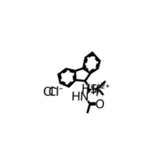 CC(=O)[NH][Hf+2]([CH]1c2ccccc2-c2ccccc21)[SiH](C)C.[Cl-].[Cl-]